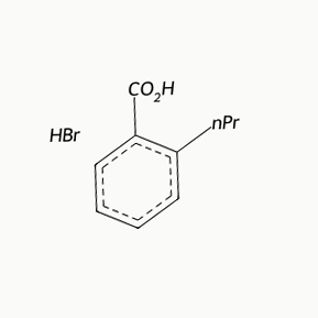 Br.CCCc1ccccc1C(=O)O